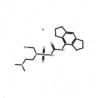 CC(C)CN(CCN(C)C)S(=O)(=O)NC(=O)Nc1c2c(cc3c1CCC3)CCC2.[K]